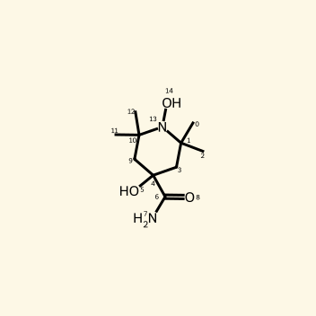 CC1(C)CC(O)(C(N)=O)CC(C)(C)N1O